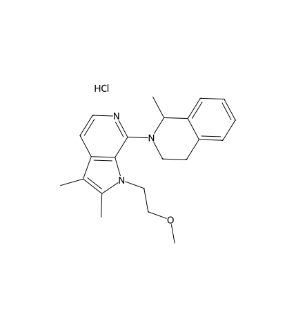 COCCn1c(C)c(C)c2ccnc(N3CCc4ccccc4C3C)c21.Cl